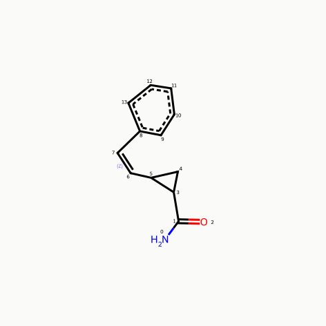 NC(=O)C1CC1/C=C\c1ccccc1